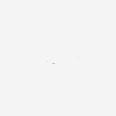 C=CCCCCCCCCC(=O)O.Cc1ccc(S(=O)(=O)O)cc1